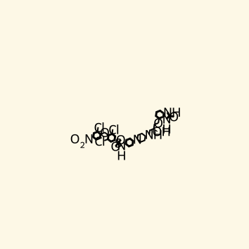 O=c1[nH]c2cccc(OC[C@@H](O)CNC3CCN(c4ccc(NS(=O)(=O)c5cc(Cl)c(Oc6ccc([N+](=O)[O-])cc6Cl)c(Cl)c5)cc4)CC3)c2[nH]1